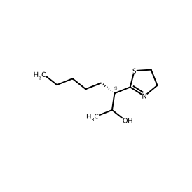 CCCCC[C@H](C1=NCCS1)C(C)O